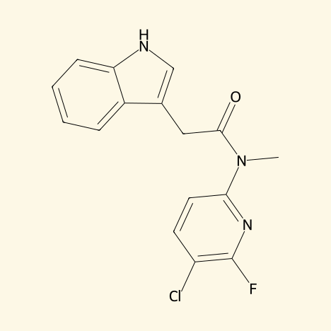 CN(C(=O)Cc1c[nH]c2ccccc12)c1ccc(Cl)c(F)n1